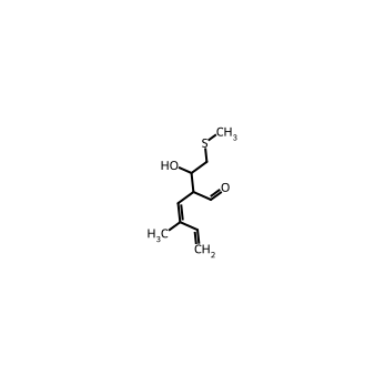 C=C/C(C)=C\C(C=O)C(O)CSC